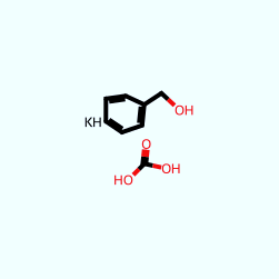 O=C(O)O.OCc1ccccc1.[KH]